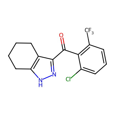 O=C(c1n[nH]c2c1CCCC2)c1c(Cl)cccc1C(F)(F)F